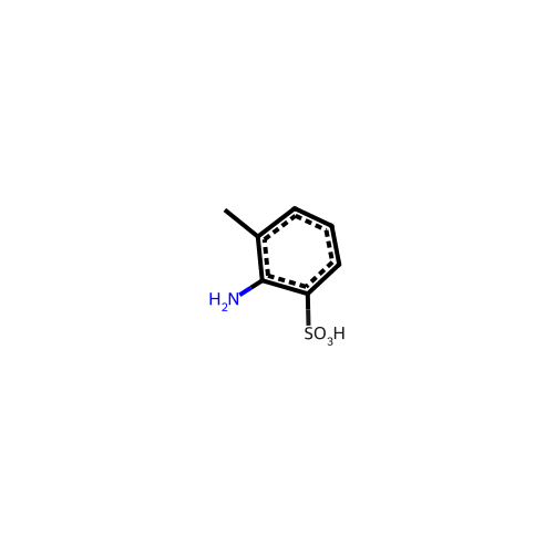 Cc1cccc(S(=O)(=O)O)c1N